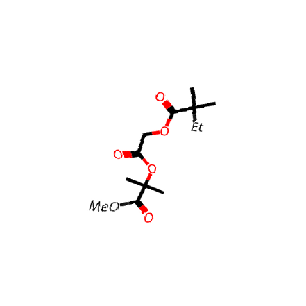 CCC(C)(C)C(=O)OCC(=O)OC(C)(C)C(=O)OC